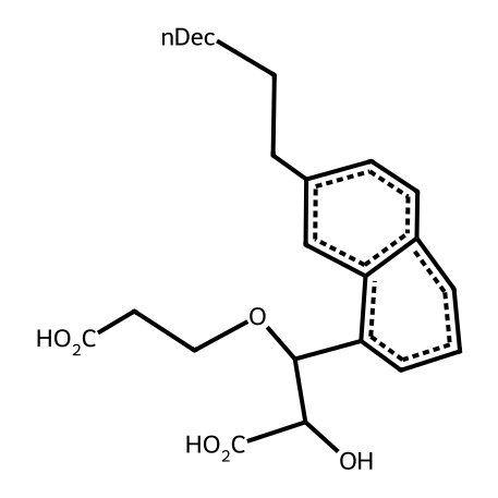 CCCCCCCCCCCCc1ccc2cccc(C(OCCC(=O)O)C(O)C(=O)O)c2c1